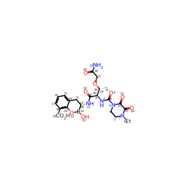 CCN1CCN(C(=O)N[C@@H](C(=O)N[C@H]2Cc3cccc(C(=O)O)c3OB2O)[C@@H](C)OCC(N)=O)C(=O)C1=O